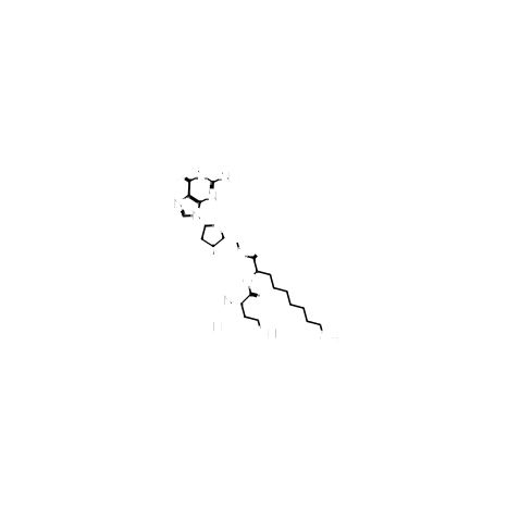 CCCCCCCCC(OC(=O)[C@@H](N)[C@@H](C)CC)C(=O)OC[C@H]1O[C@@H](n2cnc3c(=O)[nH]c(N)nc32)C[C@@H]1F